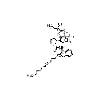 CCCCCCOCCCO[C@@H]1Cc2ccccc2[C@@H]1NC(=O)[C@@H]1CCCN1C(=O)[C@@H](NC(=O)[C@H](C)CC)C(C)(C)C